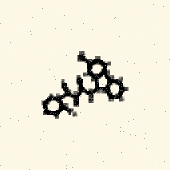 O=C(NC(=O)c1ccccc1F)NC1c2ccccc2-c2ccc(Br)cc21